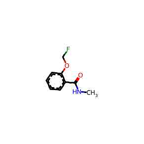 CNC(=O)c1ccccc1OCF